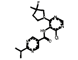 CC(C)c1ncc(C(=O)Nc2c(Cl)ncnc2N2CCC(C)(F)C2)cn1